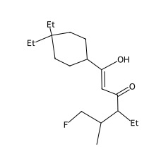 CCC(C(=O)/C=C(\O)C1CCC(CC)(CC)CC1)C(C)CF